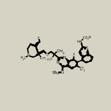 CN1CC/C(=C\F)[C@](C)(COCC(C)(C)c2nc(OC(C)(C)C)c3cc(C(F)(F)F)c(-c4cccc5sc(NC(=O)O)cc45)c(F)c3n2)C1